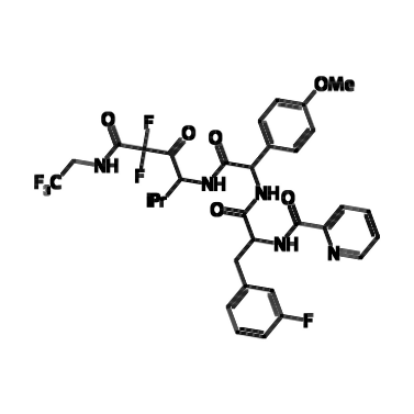 COc1ccc(C(NC(=O)C(Cc2cccc(F)c2)NC(=O)c2ccccn2)C(=O)NC(C(=O)C(F)(F)C(=O)NCC(F)(F)F)C(C)C)cc1